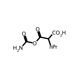 CCCC(C(=O)O)C(=O)OC(N)=O